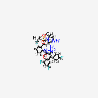 C[C@H]1CNC[C@H](CCc2c(F)cccc2NC(=O)[C@@H](N)[C@@H](c2ccc(F)cc2)c2cc(F)cc(F)c2)N1S(C)(=O)=O